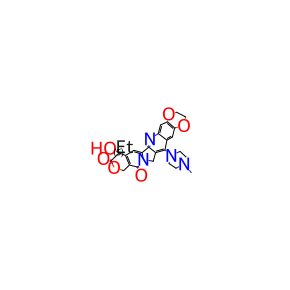 CC[C@@]1(O)C(=O)OCc2c1cc1n(c2=O)Cc2c-1nc1cc3c(cc1c2N1CCN(C)CC1)OCCO3